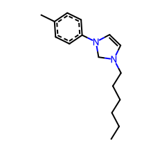 CCCCCCN1C=CN(c2ccc(C)cc2)C1